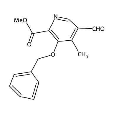 COC(=O)c1ncc(C=O)c(C)c1OCc1ccccc1